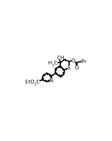 CCOC(=O)c1ccc(-c2ccc3c(c2)C(C)(C)CC(OC(=O)C(C)C)S3)nc1